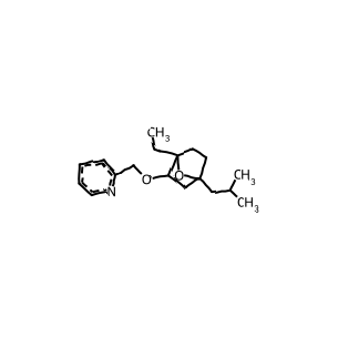 CCC12CCC(CC(C)C)(CC1OCc1ccccn1)O2